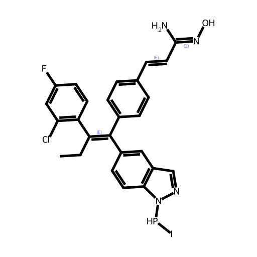 CC/C(=C(/c1ccc(/C=C/C(N)=N/O)cc1)c1ccc2c(cnn2PI)c1)c1ccc(F)cc1Cl